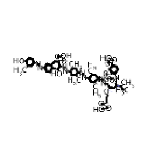 C=C/C(C)=C(\C=C(/CN=Nc1cc(C)c(N=Nc2cc(C)c(N=Nc3c(S(=O)(=O)O)cc4cc(N=Nc5ccc(O)c(C)c5)ccc4c3O)cc2C)cc1C)OCCCS(=O)(=O)O)N=Nc1ccc(S(=O)(=O)O)cc1S(=O)(=O)O